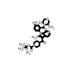 Cc1c(C(=O)C2CCN(C(=O)OC(C)(C)C)CC2)c2ccncc2n1-c1ccc(F)cc1C(=O)N1[C@H](C)COC[C@H]1C